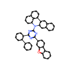 c1ccc(-c2ccccc2-c2nc(-c3ccc4c(c3)oc3ccccc34)nc(N3c4cc5ccccc5cc4-c4cccc5cccc3c45)n2)cc1